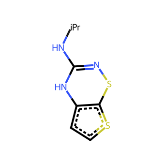 CC(C)NC1=NSc2sccc2N1